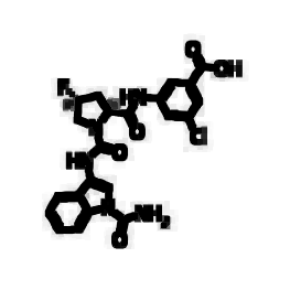 NC(=O)n1cc(NC(=O)N2C[C@H](F)C[C@H]2C(=O)Nc2cc(Cl)cc(C(=O)O)c2)c2ccccc21